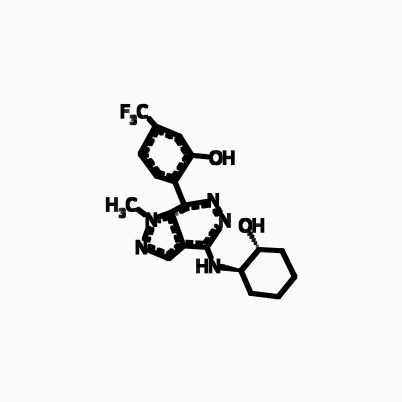 Cn1ncc2c(N[C@@H]3CCCC[C@H]3O)nnc(-c3ccc(C(F)(F)F)cc3O)c21